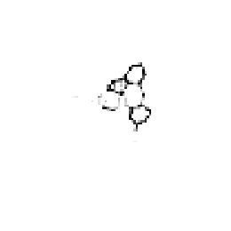 CN1CCN2c3cc(Cl)ccc3Cc3cccc4c3[C@H]2[C@@H]1C4